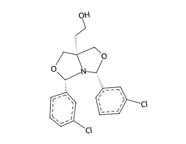 OCC[C@]12CO[C@H](c3cccc(Cl)c3)N1[C@H](c1cccc(Cl)c1)OC2